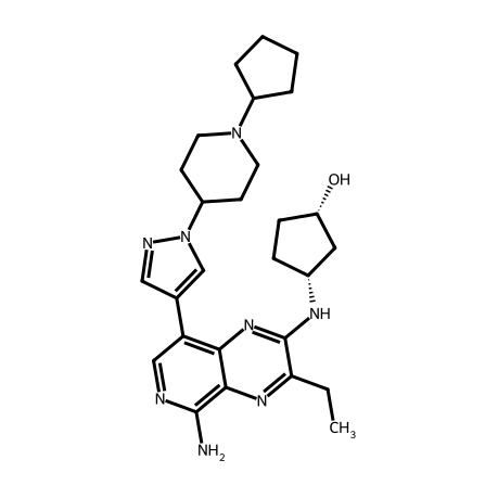 CCc1nc2c(N)ncc(-c3cnn(C4CCN(C5CCCC5)CC4)c3)c2nc1N[C@@H]1CC[C@H](O)C1